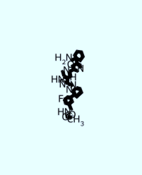 CS(=O)(=O)NCc1cc(F)cc(-c2cccc3[nH]c(-c4n[nH]c5cnc(-c6cncc(C7(C(N)=O)CCCCC7)c6)cc45)nc23)c1